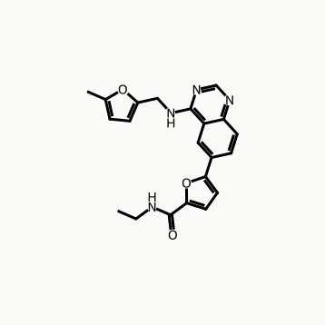 CCNC(=O)c1ccc(-c2ccc3ncnc(NCc4ccc(C)o4)c3c2)o1